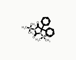 C[Si](C)(C)N1C(=O)N([Si](C)(C)C)C(c2ccccc2)(c2ccccc2)C1=O